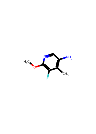 COc1ncc(N)c(C)c1F